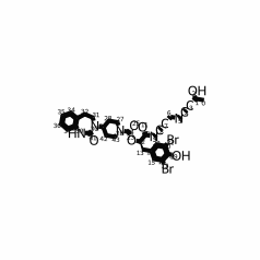 CC(O)=C=C=NC=C=C=NC(=O)[C@@H](Cc1cc(Br)c(O)c(Br)c1)OC(=O)N1CCC(N2CCc3ccccc3NC2=O)CC1